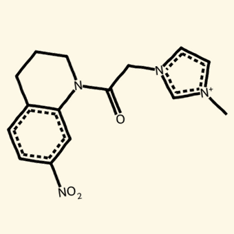 C[n+]1ccn(CC(=O)N2CCCc3ccc([N+](=O)[O-])cc32)c1